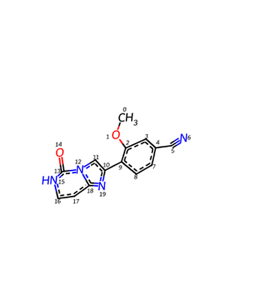 COc1cc(C#N)ccc1-c1cn2c(=O)[nH]ccc2n1